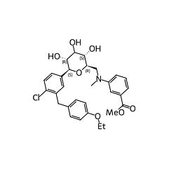 CCOc1ccc(Cc2cc([C@@H]3O[C@H](CN(C)c4cccc(C(=O)OC)c4)[C@@H](O)C(O)[C@H]3O)ccc2Cl)cc1